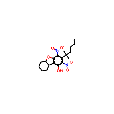 CCCCC(C)(C)c1c([N+](=O)[O-])c(O)c2c(c1[N+](=O)[O-])OC1CCCCC21